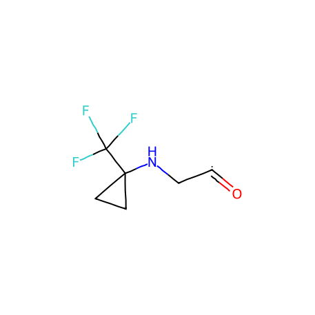 O=[C]CNC1(C(F)(F)F)CC1